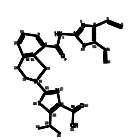 C=Cc1nc(NC(=O)c2cccc3c2CN(c2nc(C(=O)O)c(C(C)C)s2)CC3)sc1C=C